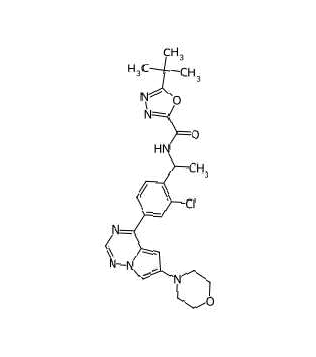 CC(NC(=O)c1nnc(C(C)(C)C)o1)c1ccc(-c2ncnn3cc(N4CCOCC4)cc23)cc1Cl